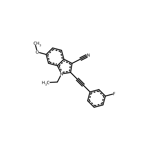 CCn1c(C#Cc2cccc(F)c2)c(C#N)c2ccc(OC)cc21